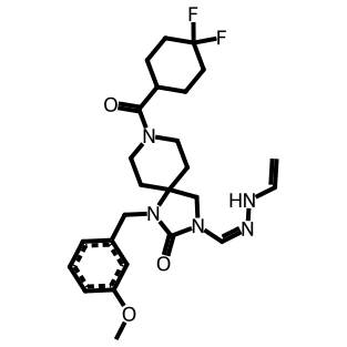 C=CN/N=C\N1CC2(CCN(C(=O)C3CCC(F)(F)CC3)CC2)N(Cc2cccc(OC)c2)C1=O